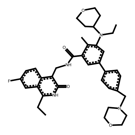 CCc1[nH]c(=O)c(CNC(=O)c2cc(-c3ccc(CN4CCOCC4)cc3)cc(N(CC)C3CCOCC3)c2C)c2ccc(F)cc12